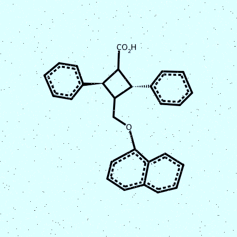 O=C(O)C1[C@H](c2ccccc2)C(COc2cccc3ccccc23)[C@H]1c1ccccc1